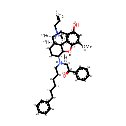 C=CCN1CC[C@]23c4c5c(O)cc(OC)c4O[C@H]2[C@@H](N(CCCCCCc2ccccc2)CC(=O)c2ccccc2)CC[C@H]3[C@H]1C5